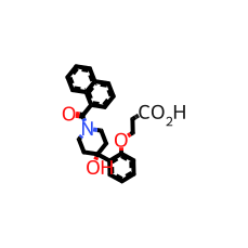 O=C(O)CCOc1ccccc1C1(O)CCN(C(=O)c2cccc3ccccc23)CC1